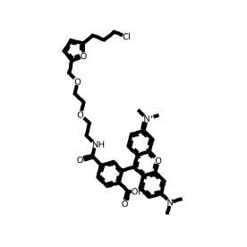 CN(C)c1ccc2c(-c3cc(C(=O)NCCOCCOCc4ccc(CCCCl)o4)ccc3C(=O)O)c3ccc(=[N+](C)C)cc-3oc2c1